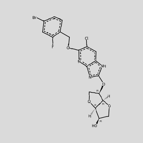 O[C@@H]1CO[C@H]2[C@@H]1OC[C@H]2Oc1nc2nc(OCc3ccc(Br)cc3F)c(Cl)cc2[nH]1